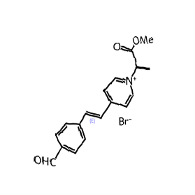 COC(=O)C(C)[n+]1ccc(/C=C/c2ccc(C=O)cc2)cc1.[Br-]